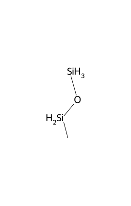 C[SiH2]O[SiH3]